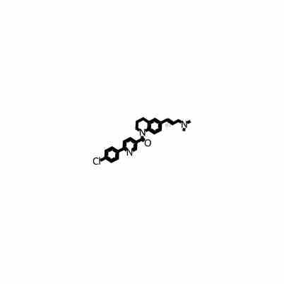 CN(C)C/C=C/c1ccc2c(c1)CCCN2C(=O)c1ccc(-c2ccc(Cl)cc2)nc1